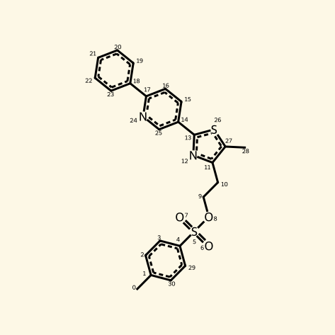 Cc1ccc(S(=O)(=O)OCCc2nc(-c3ccc(-c4ccccc4)nc3)sc2C)cc1